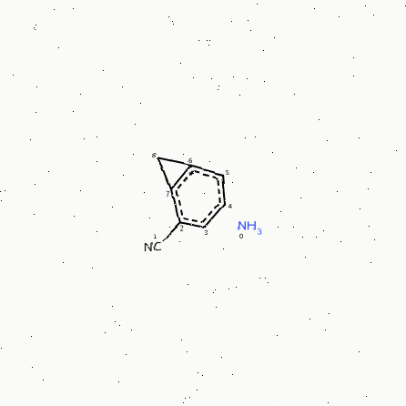 N.N#Cc1cccc2c1C2